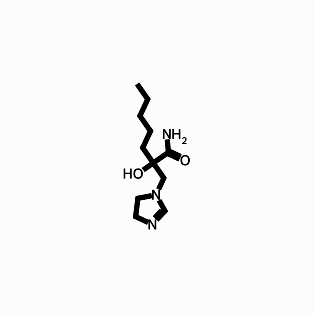 CCCCCC(O)(CN1C=NCC1)C(N)=O